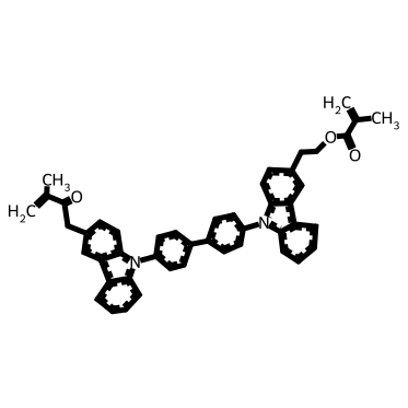 C=C(C)C(=O)Cc1ccc2c(c1)c1ccccc1n2-c1ccc(-c2ccc(-n3c4ccccc4c4cc(CCOC(=O)C(=C)C)ccc43)cc2)cc1